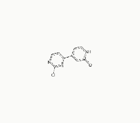 O=c1cc(-c2ccnc(Cl)n2)cc[nH]1